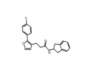 O=C(CCc1cnoc1-c1ccc(F)cc1)NC1Cc2ccccc2C1